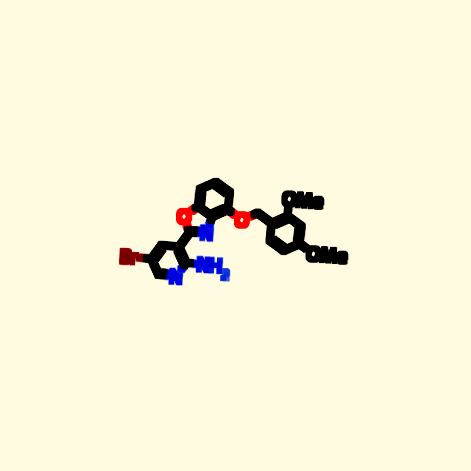 COc1ccc(COc2cccc3oc(-c4cc(Br)cnc4N)nc23)c(OC)c1